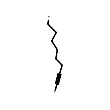 FC#CCCCCCCF